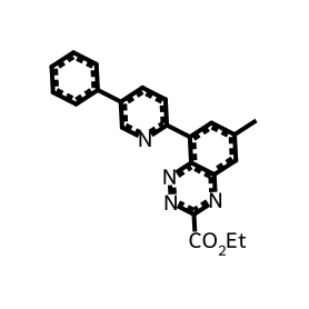 CCOC(=O)c1nnc2c(-c3ccc(-c4ccccc4)cn3)cc(C)cc2n1